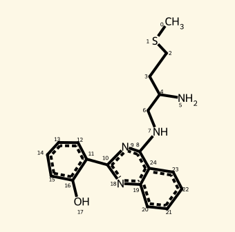 CSCCC(N)CNc1nc(-c2ccccc2O)nc2ccccc12